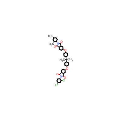 Cc1ccc(N2C(=O)c3ccc(Oc4ccc(C(C)(C)c5ccc(Oc6ccc7c(c6)C(=O)N(c6ccc(Cl)cc6Cl)C7=O)cc5)cc4)cc3C2=O)c([N+](=O)[O-])c1